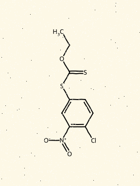 CCOC(=S)Sc1ccc(Cl)c([N+](=O)[O-])c1